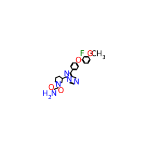 COc1cccc(Oc2ccc(-c3nc(C4CCCN(C(=O)C(N)=O)C4)n4ccncc34)cc2)c1F